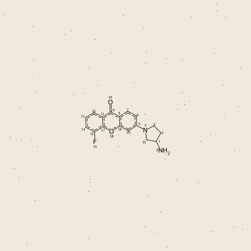 NC1CCN(c2ccc3c(=O)c4cccc(F)c4oc3c2)C1